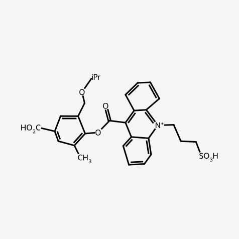 Cc1cc(C(=O)O)cc(COC(C)C)c1OC(=O)c1c2ccccc2[n+](CCCS(=O)(=O)O)c2ccccc12